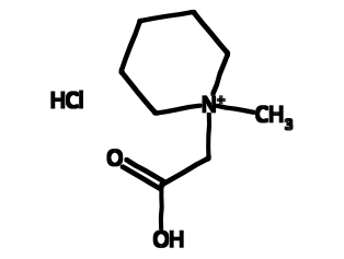 C[N+]1(CC(=O)O)CCCCC1.Cl